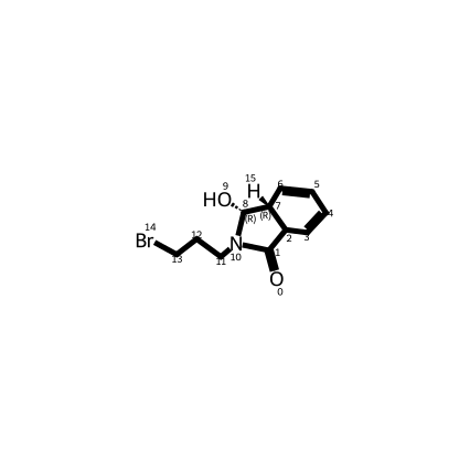 O=C1C2C=CC=C[C@H]2[C@@H](O)N1CCCBr